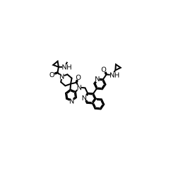 CNC1(C(=O)N2CCC3(CC2)C(=O)N(Cc2ncc4ccccc4c2-c2ccc(C(=O)NC4CC4)nc2)c2cnccc23)CC1